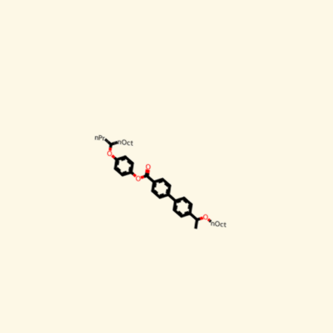 CCCCCCCCOC(C)c1ccc(-c2ccc(C(=O)Oc3ccc(OC(CCC)CCCCCCCC)cc3)cc2)cc1